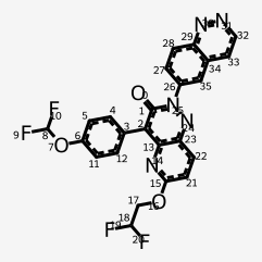 O=c1c(-c2ccc(OC(F)F)cc2)c2nc(OCC(F)F)ccc2nn1-c1ccc2nnccc2c1